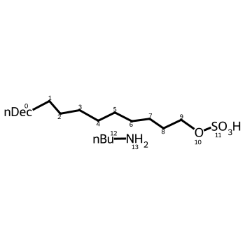 CCCCCCCCCCCCCCCCCCCOS(=O)(=O)O.CCCCN